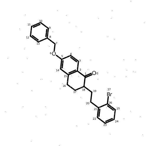 O=C1c2ccc(OCc3ccccc3)cc2CCC1CCc1ccccc1Br